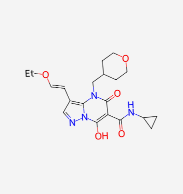 CCOC=Cc1cnn2c(O)c(C(=O)NC3CC3)c(=O)n(CC3CCOCC3)c12